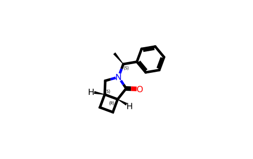 C[C@@H](c1ccccc1)N1C[C@H]2CC[C@H]2C1=O